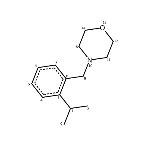 CC(C)c1ccccc1CN1CCOCC1